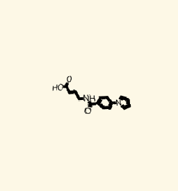 O=C(O)CCCNC(=O)c1ccc(-n2cccc2)cc1